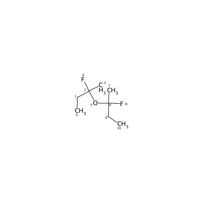 CCC(C)(F)OC(C)(F)CC